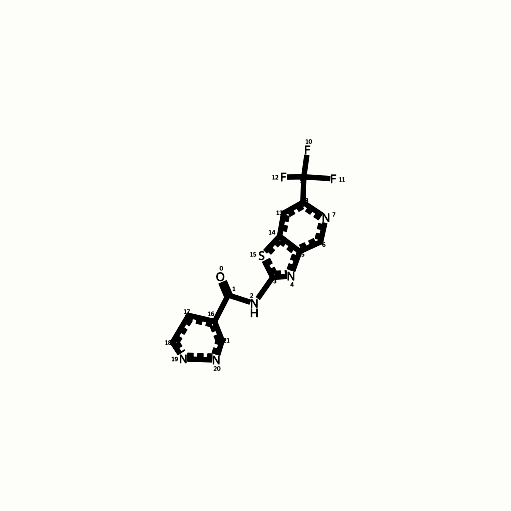 O=C(Nc1nc2cnc(C(F)(F)F)cc2s1)c1ccnnc1